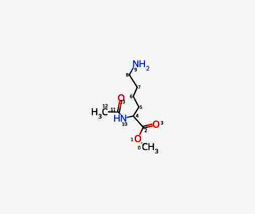 COC(=O)C(CCCCN)NC(C)=O